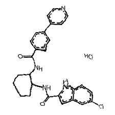 Cl.O=C(NC1CCCCC1NC(=O)c1cc2cc(Cl)ccc2[nH]1)c1ccc(-c2ccncc2)cc1